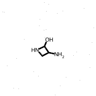 NC1CNC1O